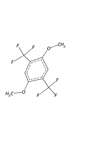 COc1cc(C(F)(F)F)c(OC)cc1C(F)(F)F